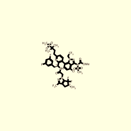 COC(=O)N(c1nn(CC(F)(F)F)c2c(-c3ccc(CCC(C)(C)S(C)(=O)=O)nc3[C@H](Cc3cc(F)cc(F)c3)NC(=O)Cn3nc(C(F)(F)F)c4c3C(F)(F)[C@H](C)C4)ccc(Cl)c12)S(C)(=O)=O